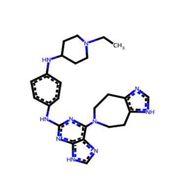 CCN1CCC(Nc2ccc(Nc3nc(N4CCc5nc[nH]c5CC4)c4nc[nH]c4n3)cc2)CC1